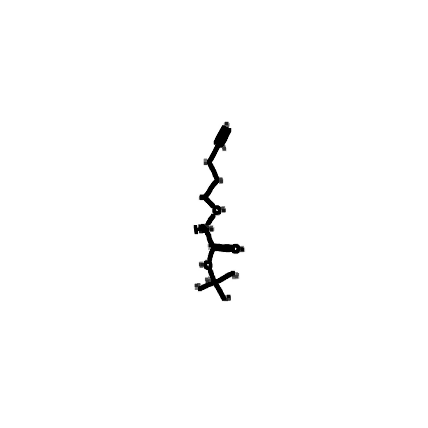 C#CCCCONC(=O)OC(C)(C)C